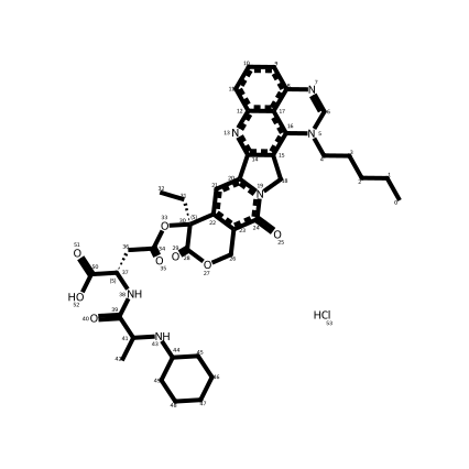 CCCCCN1C=Nc2cccc3nc4c(c1c23)Cn1c-4cc2c(c1=O)COC(=O)[C@@]2(CC)OC(=O)C[C@H](NC(=O)C(C)NC1CCCCC1)C(=O)O.Cl